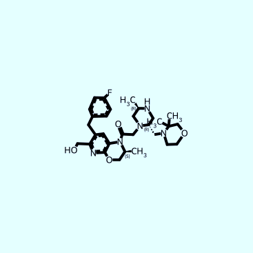 C[C@@H]1CN(CC(=O)N2c3cc(Cc4ccc(F)cc4)c(CO)nc3OC[C@@H]2C)[C@@H](CN2CCOCC2(C)C)CN1